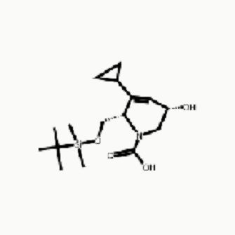 CC(C)(C)[Si](C)(C)OC[C@@H]1C(C2CC2)=C[C@H](O)CN1C(=O)O